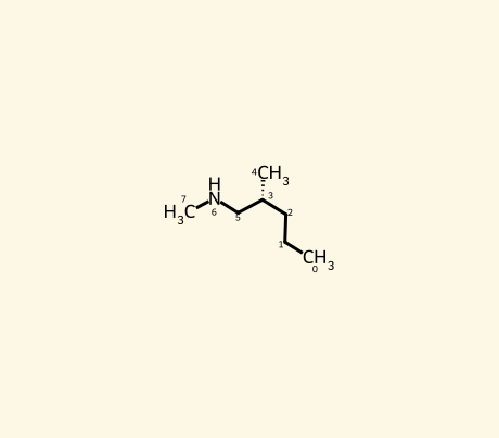 CCC[C@@H](C)CNC